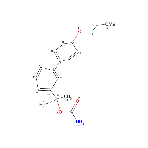 COCCOc1ccc(-c2cccc(C(C)(C)OC(N)=O)c2)cc1